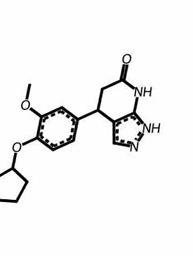 COc1cc(C2CC(=O)Nc3[nH]ncc32)ccc1OC1CCCC1